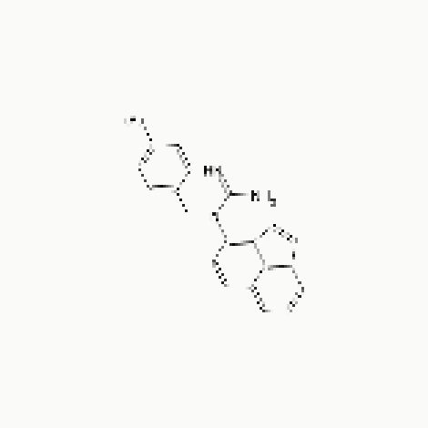 CC(C)(C)c1ccc(CN(C(=N)N)c2ccc3cccc4c3c2C=C4)cc1